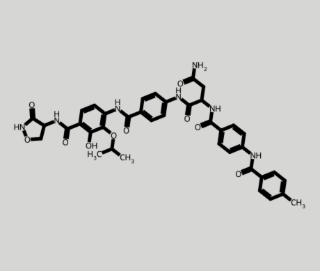 Cc1ccc(C(=O)Nc2ccc(C(=O)NC(CC(N)=O)C(=O)Nc3ccc(C(=O)Nc4ccc(C(=O)NC5CONC5=O)c(O)c4OC(C)C)cc3)cc2)cc1